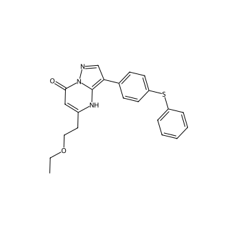 CCOCCc1cc(=O)n2ncc(-c3ccc(Sc4ccccc4)cc3)c2[nH]1